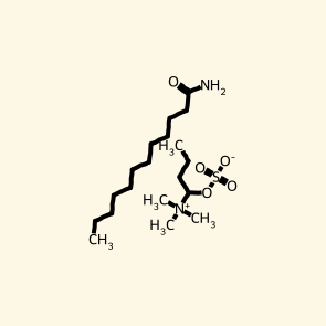 CCCC(OS(=O)(=O)[O-])[N+](C)(C)C.CCCCCCCCCCCC(N)=O